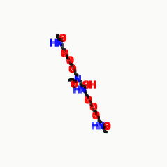 C=CC(=O)NCCCOCCOCCOCCCNC(O)CCN(CCCOCCOCCOCCCNC(=O)C=C)C(=O)C=C